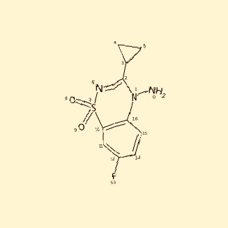 NN1C(C2CC2)=NS(=O)(=O)c2cc(F)ccc21